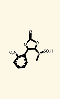 CN(C1OC(=O)OC1c1ccccc1[N+](=O)[O-])S(=O)(=O)O